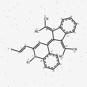 CCN1C(/C=C/I)=CC(=C2C(=C(C#N)C#N)c3ccccc3C2=C(C#N)C#N)c2ccccc21